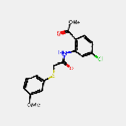 COC(=O)c1ccc(Cl)cc1NC(=O)CSc1cccc(OC)c1